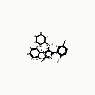 Cc1ccc(F)c(-c2nc3n(c2NC2CCCCC2)C2C=CC=CC2S3)c1